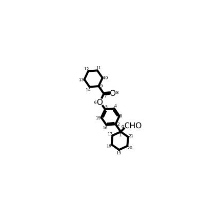 O=CC1(c2ccc(OC(=O)C3CCCCC3)cc2)CCCCC1